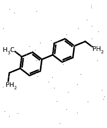 Cc1cc(-c2ccc(CP)cc2)ccc1CP